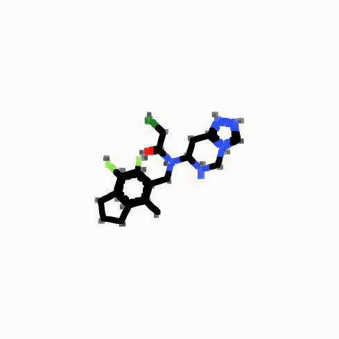 Cc1c(CN(C(=O)CCl)C2Cc3nncn3CN2)c(F)c(F)c2c1CCC2